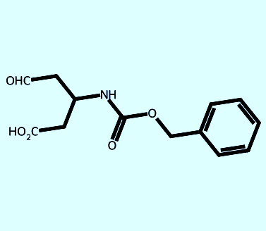 O=CCC(CC(=O)O)NC(=O)OCc1ccccc1